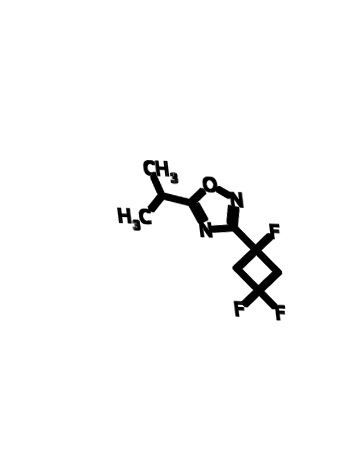 CC(C)c1nc(C2(F)CC(F)(F)C2)no1